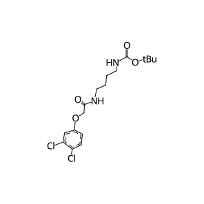 CC(C)(C)OC(=O)NCCCCNC(=O)COc1ccc(Cl)c(Cl)c1